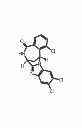 O=C1N[C@@H]2C[C@H](c3c(Cl)cccc31)n1c2nc2cc(Cl)c(Cl)cc21